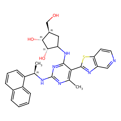 Cc1nc(N[C@H](C)c2cccc3ccccc23)nc(NC2C[C@H](CO)[C@@H](O)[C@H]2O)c1-c1nc2cnccc2s1